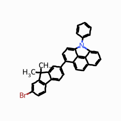 CC1(C)c2cc(Br)ccc2-c2ccc(-c3ccc4c5c3ccc3cccc(c35)n4-c3ccccc3)cc21